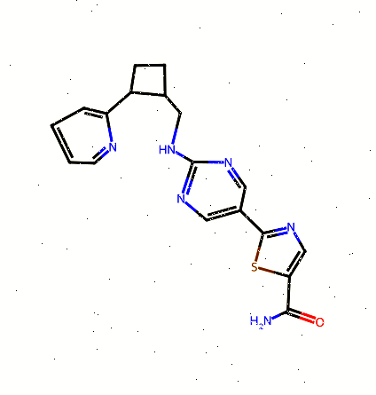 NC(=O)c1cnc(-c2cnc(NCC3CCC3c3ccccn3)nc2)s1